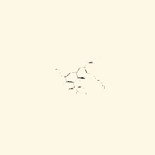 [2H]N=Nc1cc2c(O)c(N=NC)c(SOOO)cc2c(S(=O)(=O)O)c1N